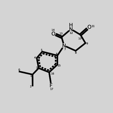 CC(C)c1ccc(N2CCC(=O)NC2=O)cc1F